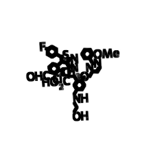 COc1ccccc1-c1nccc(COc2ccc(CNCCCO)cc2CC(Oc2ncnc3sc(-c4ccc(F)cc4)c(-c4ccc(C=O)c(Cl)c4C)c23)C(=O)O)n1